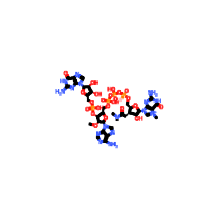 [BH3-]P(=O)(OC[C@H]1O[C@@H](n2c[n+](C)c3c(=O)[nH]c(N)nc32)[C@H](O)[C@@H]1CC(=O)N(C)C)OP(=O)(O)OP(=O)(O)OC[C@H]1O[C@@H](n2cnc3c(N)ncnc32)[C@H](OC)[C@@H]1OP(=O)(O)OC[C@H]1O[C@@H](n2cnc3c(=O)[nH]c(N)nc32)[C@H](O)[C@@H]1O